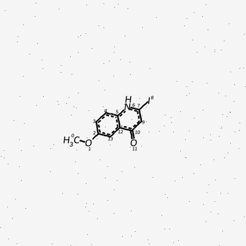 COc1ccc2[nH]c(I)cc(=O)c2c1